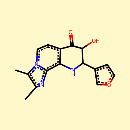 Cc1nc2c3c(ccn2c1C)C(=O)C(O)C(c1ccoc1)N3